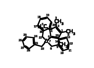 CC1=C(C)C(C)[C]([Zr]([CH2]c2ccccc2)([CH2]c2ccccc2)[CH2]c2ccccc2)=C1C